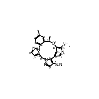 Cc1ccc2c(c1)C(C)Oc1cc(cnc1N)-c1c(C#N)cnn1Cc1ccnn1-2